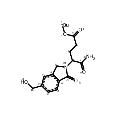 CC(C)(C)OC(=O)CCC(C(N)=O)N1Cc2cc(CO)ccc2C1=O